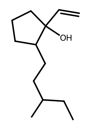 C=CC1(O)CCCC1CCC(C)CC